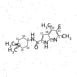 Cc1nc2[nH]c(C(=O)NC3CC[Si](C)(C)CC3)cc2c(C)c1F